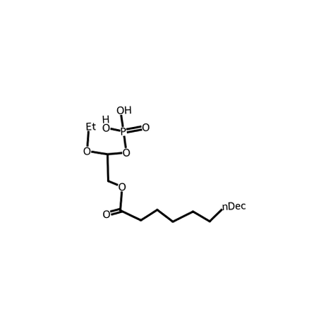 CCCCCCCCCCCCCCCC(=O)OCC(OCC)OP(=O)(O)O